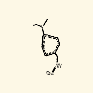 CCC(C)Nc1ccc(N(C)C)cc1